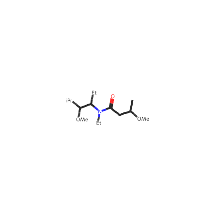 CCC(C(OC)C(C)C)N(CC)C(=O)CC(C)OC